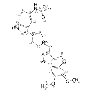 COc1cc2c(cc1OC)C1=NOC(CN3CC=C(c4c[nH]c5ccc(NC(C)=O)cc45)CC3)C1CO2